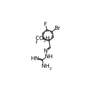 CC(=O)O.N=C(N)N/N=C/c1ccc(F)c(Br)c1